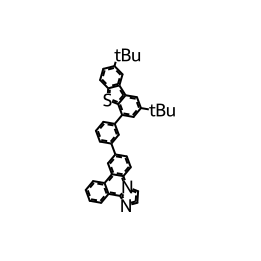 CC(C)(C)c1ccc2sc3c(-c4cccc(-c5ccc6c(c5)c5ccccc5c5nccn65)c4)cc(C(C)(C)C)cc3c2c1